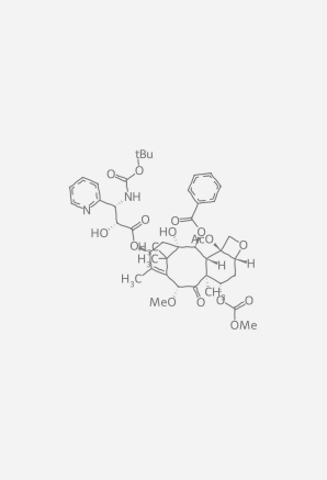 COC(=O)O[C@H]1C[C@H]2OC[C@@]2(OC(C)=O)[C@H]2[C@H](OC(=O)c3ccccc3)[C@]3(O)C[C@H](OC(=O)[C@H](O)[C@@H](NC(=O)OC(C)(C)C)c4ccccn4)C(C)=C([C@@H](OC)C(=O)[C@]12C)C3(C)C